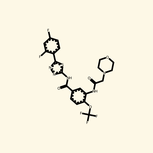 O=C(CN1CCOCC1)Nc1cc(C(=O)Nc2nnc(-c3ccc(F)cc3F)s2)ccc1OC(F)(F)F